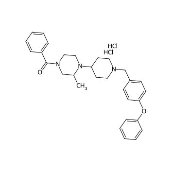 CC1CN(C(=O)c2ccccc2)CCN1C1CCN(Cc2ccc(Oc3ccccc3)cc2)CC1.Cl.Cl